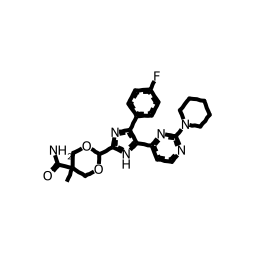 CC1(C(N)=O)COC(c2nc(-c3ccc(F)cc3)c(-c3ccnc(N4CCCCC4)n3)[nH]2)OC1